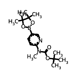 CN(C(=O)OC(C)(C)C)c1ccc(B2OC(C)(C)C(C)(C)O2)cn1